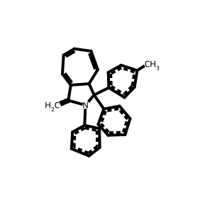 C=C1C2=CC=CC=CC2C(c2ccccc2)(c2ccc(C)cc2)N1c1ccccc1